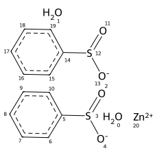 O.O.O=S([O-])c1ccccc1.O=S([O-])c1ccccc1.[Zn+2]